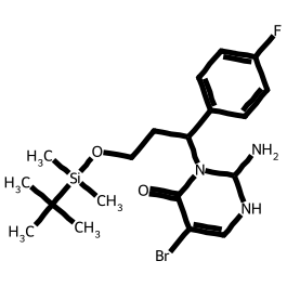 CC(C)(C)[Si](C)(C)OCCC(c1ccc(F)cc1)N1C(=O)C(Br)=CNC1N